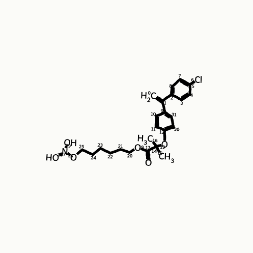 C=C(c1ccc(Cl)cc1)c1ccc(OC(C)(C)C(=O)OCCCCCCON(O)O)cc1